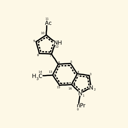 CCCn1ncc2cc(-c3ccc(C(C)=O)[nH]3)c(C)cc21